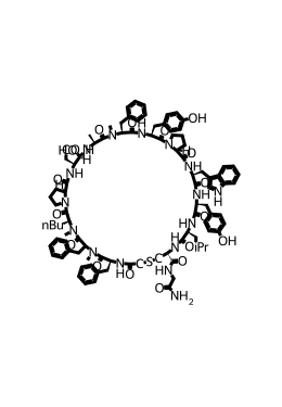 CCCC[C@H]1C(=O)N2CCC[C@@H]2C(=O)N[C@@H](CC(=O)O)C(O)N[C@@H](C)C(=O)N(C)[C@@H](Cc2ccccc2)C(=O)N[C@@H](Cc2ccc(O)cc2)C(=O)N2CCC[C@@H]2C(=O)N[C@@H](Cc2c[nH]c3ccccc23)C(=O)N[C@@H](Cc2ccc(O)cc2)C(=O)N[C@@H](CC(C)C)C(=O)N[C@H](C(=O)NCC(N)=O)CSCC(=O)N[C@@H](Cc2ccccc2)C(=O)N(C)C(Cc2ccccc2)C(=O)N1C